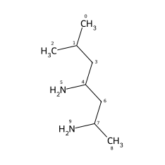 CC(C)CC(N)CC(C)N